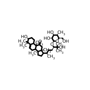 C[C@H]1[C@H](O)[C@@H](O)[C@H](O[C@H](CC[C@@H](C)C2CC[C@@]3(C)C4CC=C5C(CC[C@H](O)C5(C)C)[C@]4(C)C(=O)C[C@]23C)C(C)(C)O)O[C@@H]1CO